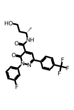 C[C@@H](CCO)NC(=O)c1cc(-c2ccc(C(F)(F)F)cc2)nn(-c2cccc(F)c2)c1=O